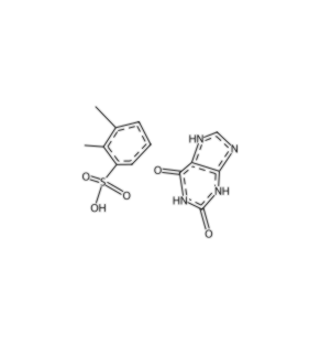 Cc1cccc(S(=O)(=O)O)c1C.O=c1[nH]c(=O)c2[nH]cnc2[nH]1